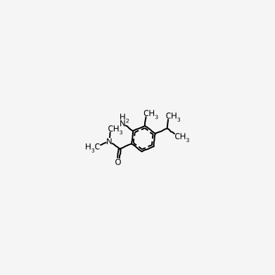 Cc1c(C(C)C)ccc(C(=O)N(C)C)c1N